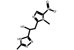 Cc1nnc(C(S)Cc2ncc([N+](=O)[O-])n2C)[nH]1